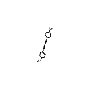 CC(=O)c1ccc(C#CC#Cc2ccc(C(C)=O)cc2)cc1